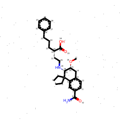 CCC1(CC)c2cc(C(N)=O)ccc2C[C@@H](OC)[C@H]1NCC[C@H](CCCc1ccccc1)C(=O)O